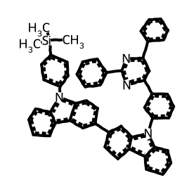 C[Si](C)(C)c1ccc(-n2c3ccccc3c3cc(-c4ccc5c6ccccc6n(-c6cccc(-c7cc(-c8ccccc8)nc(-c8ccccc8)n7)c6)c5c4)ccc32)cc1